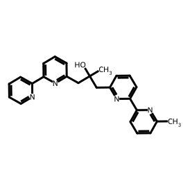 Cc1cccc(-c2cccc(CC(C)(O)Cc3cccc(-c4ccccn4)n3)n2)n1